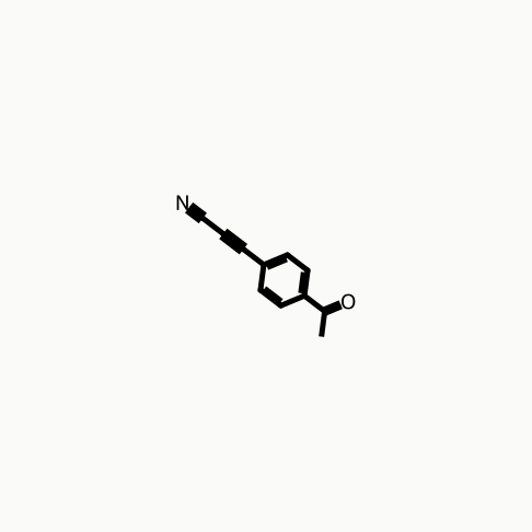 CC(=O)c1ccc(C#CC#N)cc1